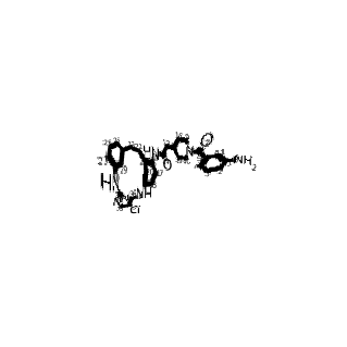 Nc1cccc(C(=O)N2CCC(CC(=O)Nc3ccc4cc3CCc3cccc(c3)Nc3ncc(Cl)c(n3)N4)CC2)c1